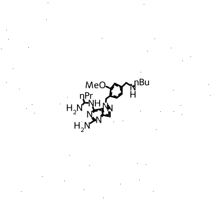 CCCCNCc1ccc(Cn2ncc3nc(N)nc(NC(N)CCC)c32)c(OC)c1